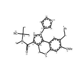 COc1cc2c(cc1CC(C)C)-c1c(c(C(=O)N(C)C(C)(C)C#N)nn1-c1ccsc1)CO2